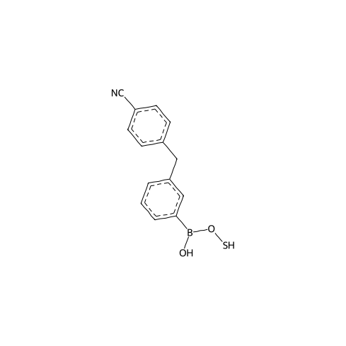 N#Cc1ccc(Cc2cccc(B(O)OS)c2)cc1